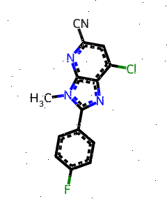 Cn1c(-c2ccc(F)cc2)nc2c(Cl)cc(C#N)nc21